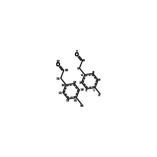 Cc1ccc(CC=O)cc1.Cc1ccc(CC=O)cc1